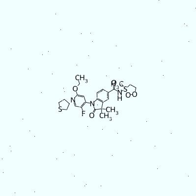 C1CCSC1.CCOc1cc(N2C(=O)C(C)(C)c3cc(C(=O)NS4(C)CCOO4)ccc32)c(F)cn1